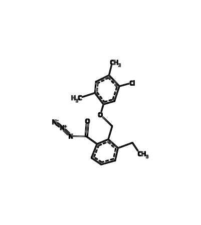 CCc1cccc(C(=O)N=[N+]=[N-])c1COc1cc(Cl)c(C)cc1C